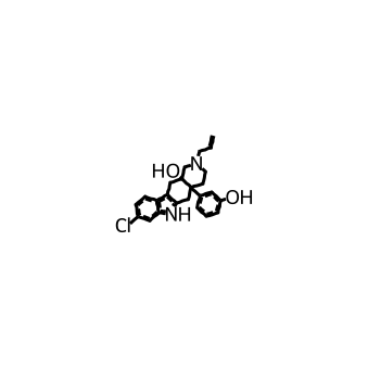 C=CCN1CCC2(c3cccc(O)c3)Cc3[nH]c4cc(Cl)ccc4c3CC2(O)C1